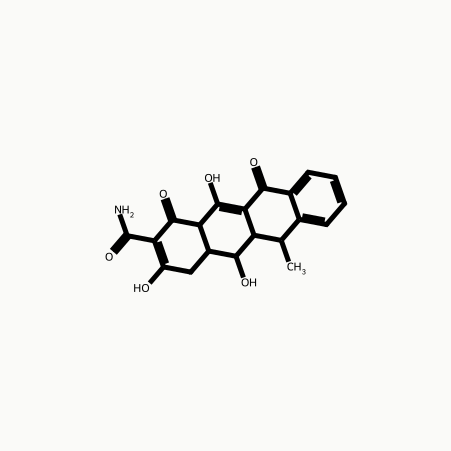 CC1c2ccccc2C(=O)C2=C(O)C3C(=O)C(C(N)=O)=C(O)CC3C(O)C21